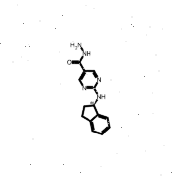 NNC(=O)c1cnc(N[C@@H]2CCc3ccccc32)nc1